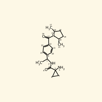 CC(NC(=O)C1(N)CC1)c1ccc(C(=O)N2C(C)CC[C@H]2C)cc1